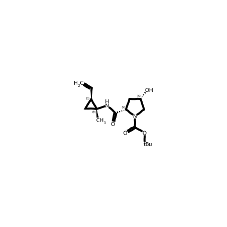 C=C[C@@H]1C[C@@]1(C)NC(=O)[C@@H]1C[C@H](O)CN1C(=O)OC(C)(C)C